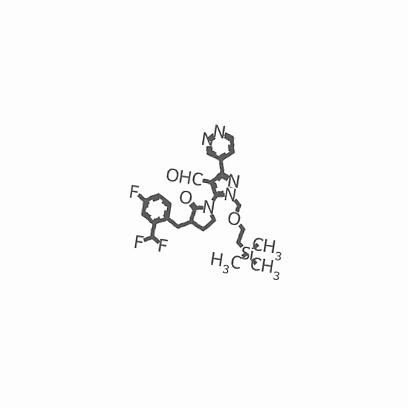 C[Si](C)(C)CCOCn1nc(-c2ccnnc2)c(C=O)c1N1CCC(Cc2ccc(F)cc2C(F)F)C1=O